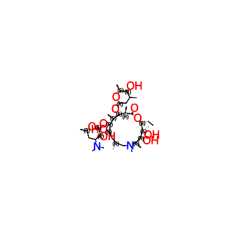 CC[C@H]1OC(=O)[C@H](C)[C@@H](O[C@H]2CC(C)[C@@H](O)[C@H](C)O2)[C@H](C)[C@@H](O[C@@H]2O[C@H](C)CC(N(C)C)[C@H]2O)[C@](C)(O)C[C@@H](C)CN(C)[C@H](C)[C@@H](O)[C@]1(C)O